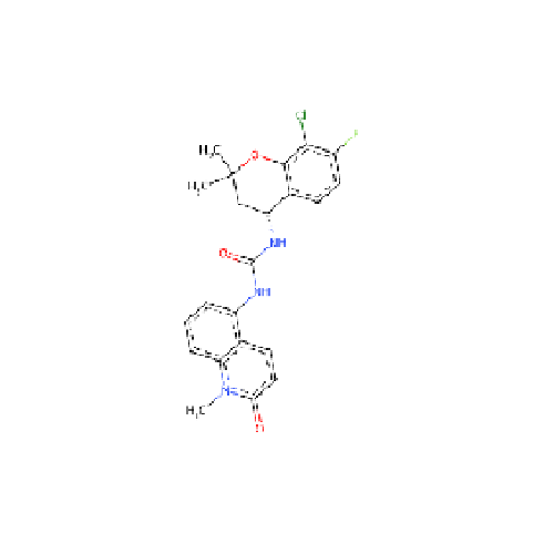 Cn1c(=O)ccc2c(NC(=O)N[C@@H]3CC(C)(C)Oc4c3ccc(F)c4Cl)cccc21